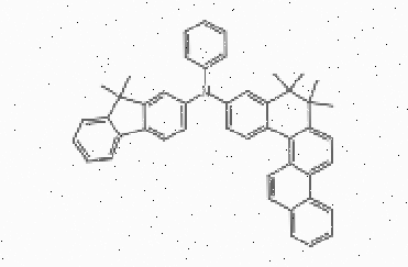 CC1(C)c2ccccc2-c2ccc(N(c3ccccc3)c3ccc4c(c3)C(C)(C)C(C)(C)c3ccc5c(ccc6ccccc65)c3-4)cc21